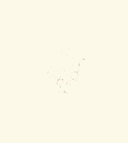 CC(C)(C)[Si](C)(C)OCCC1=Cc2cc(Nc3nn(C4COCC[C@@H]4C#N)cc3C(N)=O)ccc2OB1O